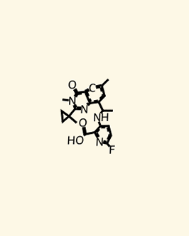 Cc1cc(C(C)Nc2ccc(F)nc2C(=O)O)c2nc(C3(C)CC3)n(C)c(=O)c2c1